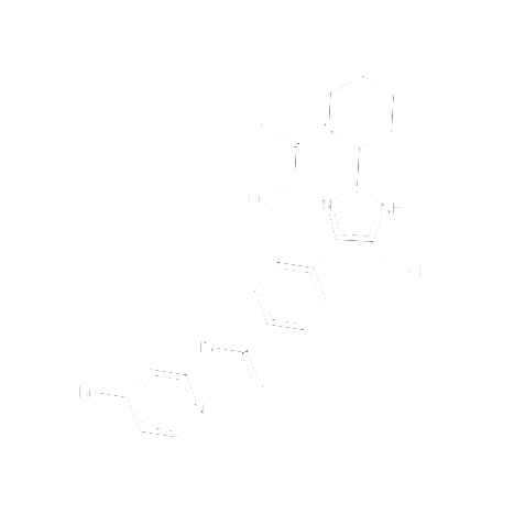 CCOC(=O)c1[nH]c(C2CCCCN2C(=O)OC(C)(C)C)nc1-c1ccc(C(=O)Nc2cc(Br)ccn2)cc1